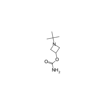 CC(C)(C)N1CC(OC(N)=O)C1